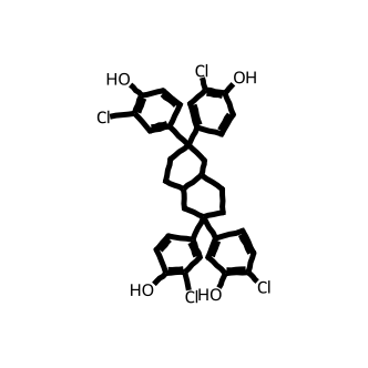 Oc1cc(C2(c3ccc(O)c(Cl)c3)CCC3CC(c4ccc(O)c(Cl)c4)(c4ccc(O)c(Cl)c4)CCC3C2)ccc1Cl